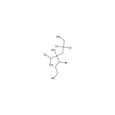 CC(Cl)C(O)(CC(Cl)(Cl)CO)C(Br)CCO